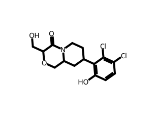 O=C1C(CO)OCC2CC(c3c(O)ccc(Cl)c3Cl)CCN12